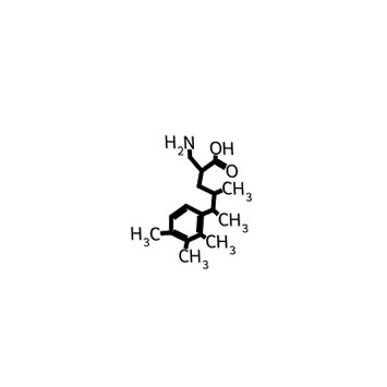 Cc1ccc(C(C)C(C)CC(CN)C(=O)O)c(C)c1C